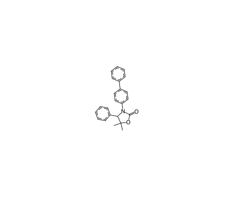 CC1(C)OC(=O)N(c2ccc(-c3ccccc3)cc2)C1c1ccccc1